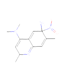 CC1=CC2=NC(C)C=C(N(C)C)C2=CC1(N)[N+](=O)[O-]